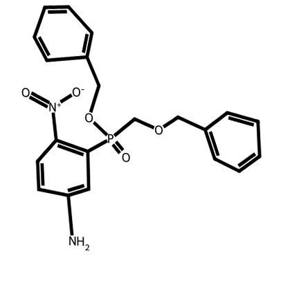 Nc1ccc([N+](=O)[O-])c(P(=O)(COCc2ccccc2)OCc2ccccc2)c1